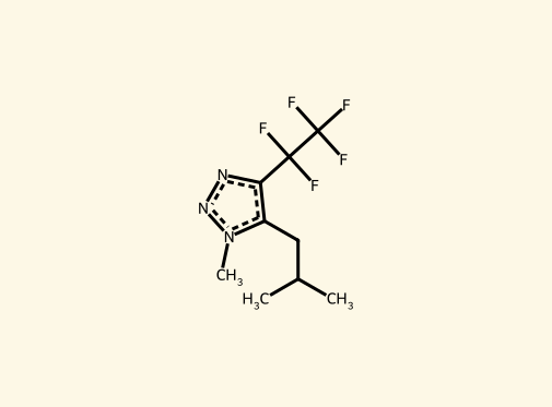 CC(C)Cc1c(C(F)(F)C(F)(F)F)nnn1C